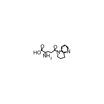 N[C@@H](CCC(=O)N1CCCc2ncccc21)C(=O)O